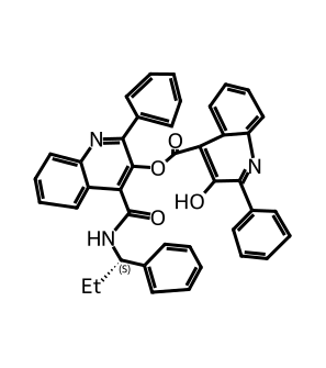 CC[C@H](NC(=O)c1c(OC(=O)c2c(O)c(-c3ccccc3)nc3ccccc23)c(-c2ccccc2)nc2ccccc12)c1ccccc1